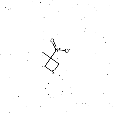 CC1([N+](=O)[O-])CSC1